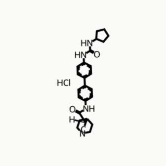 Cl.O=C(Nc1ccc(-c2ccc(NC(=O)[C@H]3CN4CCC3CC4)cc2)cc1)NC1CCCC1